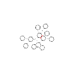 c1ccc(-c2cccc(-c3c(N(c4ccc(-c5ccccc5)c(-c5ccccc5)c4)c4ccc5c(c4)-c4ccccc4C5(c4ccccc4)c4ccccc4)c4ccccc4c4ccccc34)c2)cc1